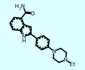 CCN1CCN(c2ccc(-c3cc4c(C(N)=O)cccc4[nH]3)cc2)CC1